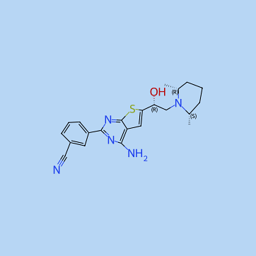 C[C@@H]1CCC[C@H](C)N1C[C@@H](O)c1cc2c(N)nc(-c3cccc(C#N)c3)nc2s1